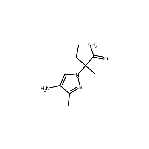 CCC(C)(C(N)=O)n1cc(N)c(C)n1